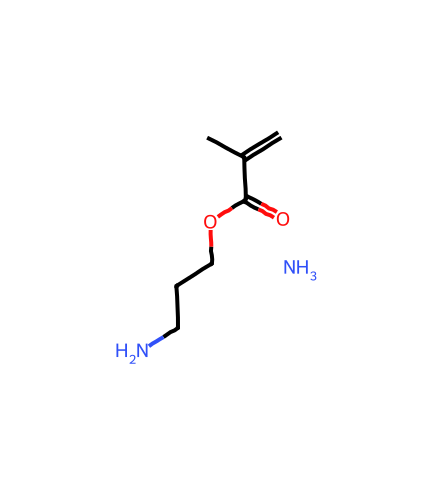 C=C(C)C(=O)OCCCN.N